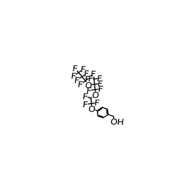 OCc1ccc(OC(F)(F)C(F)OC(F)(F)C(F)(OC(F)(F)C(F)(F)C(F)(F)F)C(F)(F)F)cc1